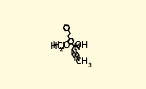 CN1CCN(CC(=NO)c2ccc(CCc3ccccc3)cc2)CC1.Cl.O